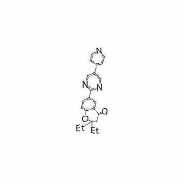 CCC1(CC)CC(=O)c2cc(-c3ncc(-c4ccncc4)cn3)ccc2O1